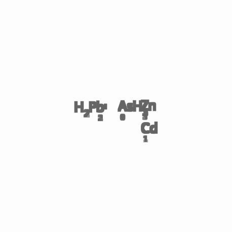 [AsH3].[Cd].[PbH2].[Zn]